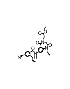 C=CCc1cc(C#N)ccc1C(=O)Nc1ccc2c(c1)C(=O)N(CCC(=O)OCC)CC(=O)N2CC=C